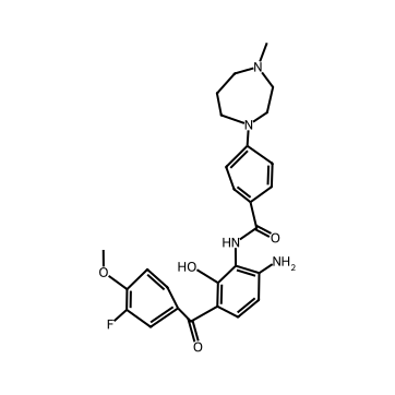 COc1ccc(C(=O)c2ccc(N)c(NC(=O)c3ccc(N4CCCN(C)CC4)cc3)c2O)cc1F